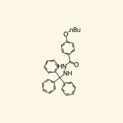 CCCCOc1ccc(C(=O)NNC(c2ccccc2)(c2ccccc2)c2ccccc2)cc1